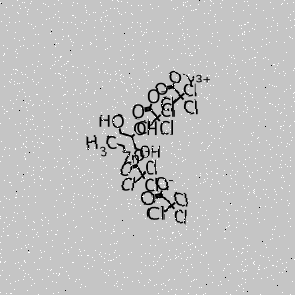 C[CH2][Zn+].O=C([O-])C(Cl)(Cl)Cl.O=C([O-])C(Cl)(Cl)Cl.O=C([O-])C(Cl)(Cl)Cl.O=C([O-])C(Cl)(Cl)Cl.OCC(O)CO.[Y+3]